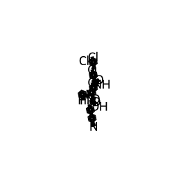 N#Cc1ccc(-c2ccc(C[C@H](NC(=O)C3Cc4cc5c(cc4CN3Cc3ccccc3F)OC(c3ccc(OCc4ccc(Cl)c(Cl)c4)cc3)C(=O)N5)C(=O)O)cc2)cc1